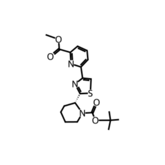 COC(=O)c1cccc(-c2csc([C@H]3CCCCN3C(=O)OC(C)(C)C)n2)n1